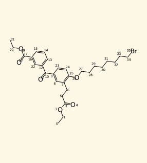 CCOC(=O)CCc1cc(C(=O)c2cccc(C(=O)OCC)c2)ccc1OCCCCCCCCBr